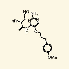 C=C(Nc1nc(N)ncc1OCCCc1ccc(OC)cc1)[C@@H](CCC)CCO